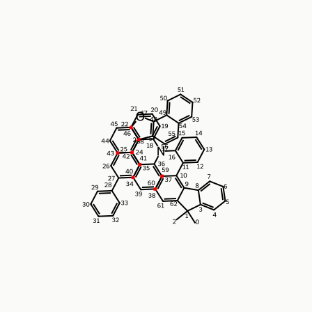 CC1(C)c2ccccc2-c2c(-c3ccccc3N(c3ccccc3-c3ccc(-c4ccccc4)cc3)c3ccccc3-c3cccc4oc5c6ccccc6ccc5c34)cccc21